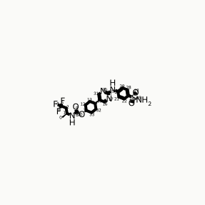 C[C@@H](CC(F)(F)F)NC(=O)O[C@H]1CC[C@@H](c2cnc(Nc3ccc(S(N)(=O)=O)cc3)nc2)CC1